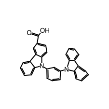 O=C(O)c1ccc2c(c1)c1ccccc1n2-c1cccc(-n2c3ccccc3c3ccccc32)c1